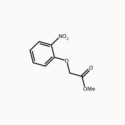 COC(=O)COc1ccccc1[N+](=O)[O-]